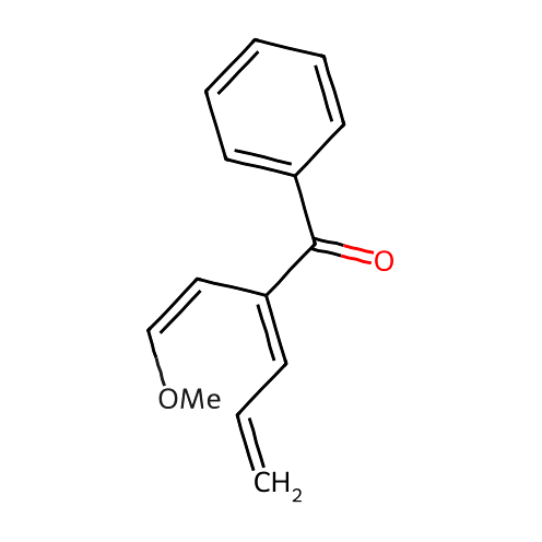 C=C/C=C(\C=C/OC)C(=O)c1ccccc1